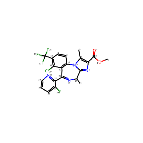 COC(=O)c1nc2n(c1C)-c1ccc(C(F)(F)F)c(Cl)c1C(c1ncccc1F)=NC2C